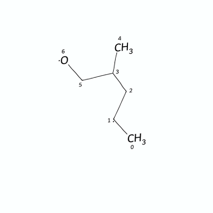 C[CH]CC(C)C[O]